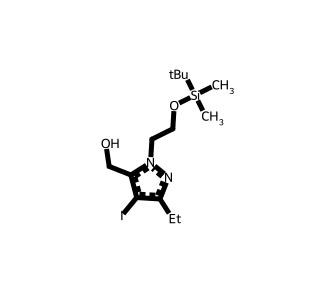 CCc1nn(CCO[Si](C)(C)C(C)(C)C)c(CO)c1I